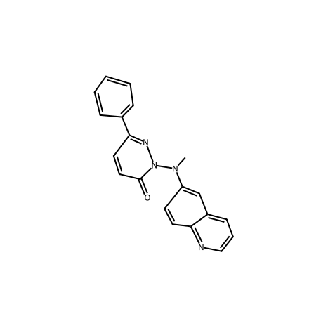 CN(c1ccc2ncccc2c1)n1nc(-c2ccccc2)ccc1=O